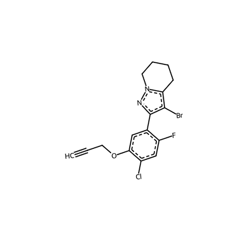 C#CCOc1cc(-c2nn3c(c2Br)CCCC3)c(F)cc1Cl